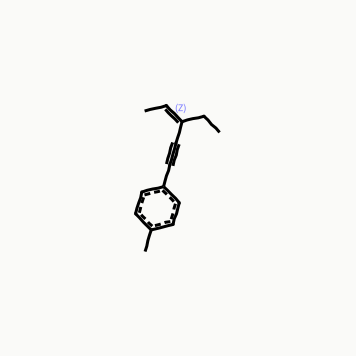 C/C=C(\C#Cc1ccc(C)cc1)CC